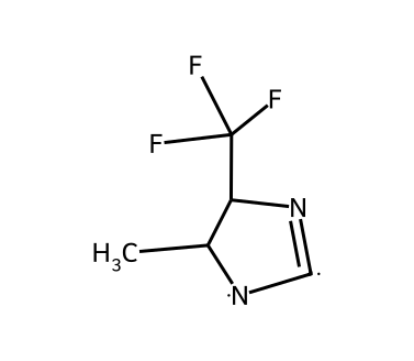 CC1[N][C]=NC1C(F)(F)F